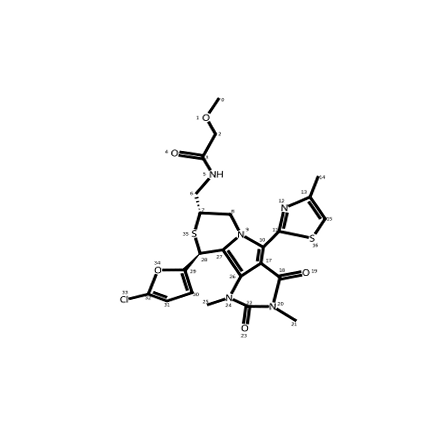 COCC(=O)NC[C@@H]1Cn2c(-c3nc(C)cs3)c3c(=O)n(C)c(=O)n(C)c3c2[C@@H](c2ccc(Cl)o2)S1